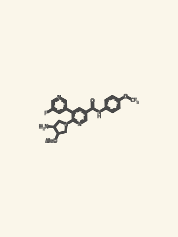 COC1CN(c2ncc(C(=O)Nc3ccc(OC(F)(F)F)cc3)cc2-c2cncc(F)c2)CC1N